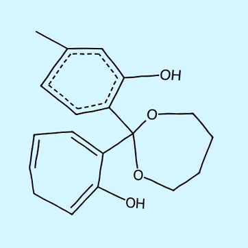 Cc1ccc(C2(C3=CC=CCC=C3O)OCCCCO2)c(O)c1